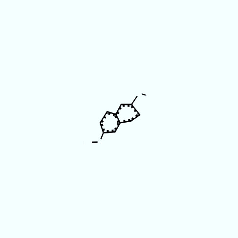 CNc1ccc2cc(OC)ccc2c1